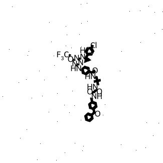 CC(C)(CNC(=O)C(=O)NCc1ccc(C(=O)c2ccccc2)cc1)CNC(=O)c1ccc(Nc2nc(NC3(c4ccc(Cl)cc4)CC3)nc(OCC(F)(F)F)n2)cc1